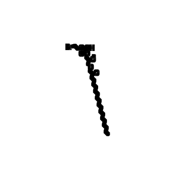 CCCCCCCCCCCCCCCCCCC(=O)COCC(COP(=O)(O)OCCBr)OC